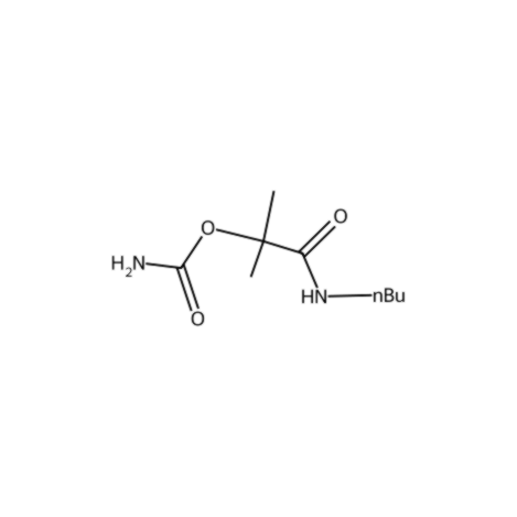 CCCCNC(=O)C(C)(C)OC(N)=O